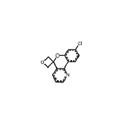 Clc1ccc2c(c1)OC1(COC1)c1cccnc1-2